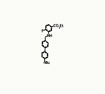 CCCCc1ccc(-c2ccc(CNc3cc(C(=O)OCC)ccc3F)cc2)cc1